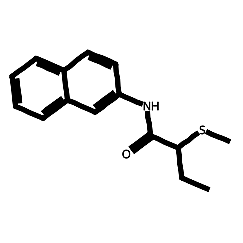 CCC(SC)C(=O)Nc1ccc2ccccc2c1